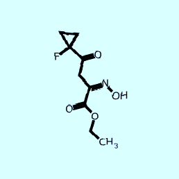 CCOC(=O)C(CC(=O)C1(F)CC1)=NO